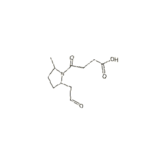 CC1CCC(CC=O)N1C(=O)CCC(=O)O